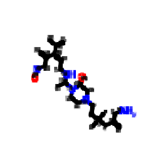 C=C(CN)CC(C)(C)CCN1CCN([C@@H](C)NC/C=C(/C(=C)C)C(=C)CN=O)C(=O)C1